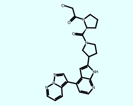 O=C([C@@H]1CCCN1C(=O)CCl)N1CCC(c2cc3c(-c4cnn5ncccc45)ccnc3[nH]2)C1